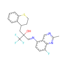 Cc1ncc2c(N=CC(O)(CC3CCSc4ccccc43)C(F)(F)F)ccc(F)c2n1